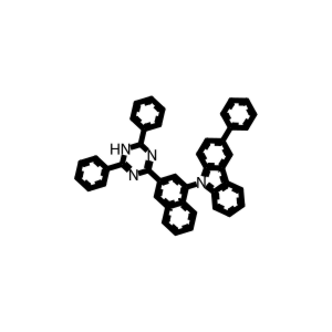 c1ccc(C2=NC(c3cc(-n4c5ccccc5c5cc(-c6ccccc6)ccc54)c4ccccc4c3)=NC(c3ccccc3)N2)cc1